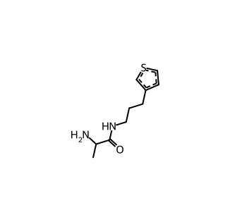 CC(N)C(=O)NCCCc1ccsc1